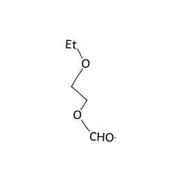 [CH2]COCCO[C]=O